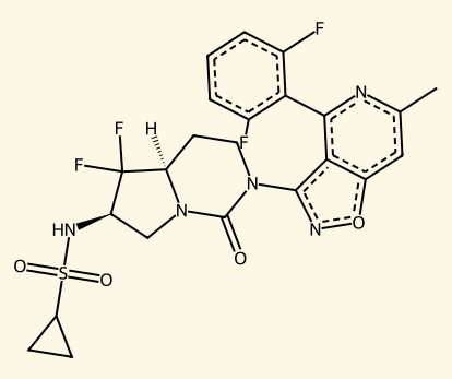 Cc1cc2onc(N3CC[C@H]4N(C[C@@H](NS(=O)(=O)C5CC5)C4(F)F)C3=O)c2c(-c2c(F)cccc2F)n1